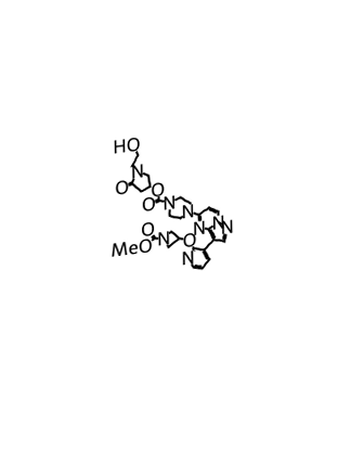 COC(=O)N1CC(Oc2ncccc2-c2cnn3ccc(N4CCN(C(=O)O[C@@H]5CC(=O)N(CCO)C5)CC4)nc23)C1